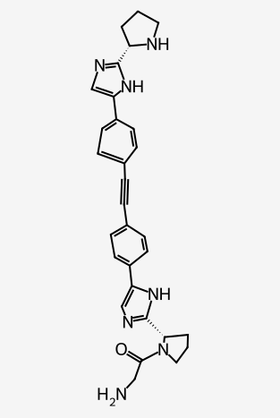 NCC(=O)N1CCC[C@H]1c1ncc(-c2ccc(C#Cc3ccc(-c4cnc([C@@H]5CCCN5)[nH]4)cc3)cc2)[nH]1